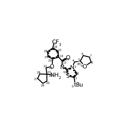 CC(C)(C)c1cn(C[C@H]2CCCO2)c(=NC(=O)c2cc(C(F)(F)F)ccc2OCC2(N)CCCC2)s1